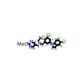 COc1ncc(CN2CCOc3c(Cl)cc(-n4ccc5cc(Cl)ccc54)cc3C2)cn1